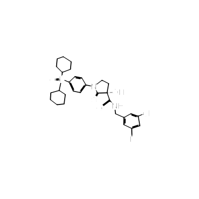 O=C(NCc1cc(F)cc(Cl)c1)[C@@]1(O)CCN(c2ccc(P(=O)(C3CCCCC3)C3CCCCC3)cc2)C1=O